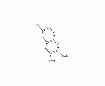 COc1cc2ccc(=O)[nH]c2cc1OC